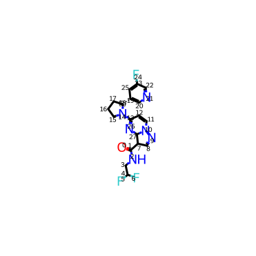 O=C(NCC(F)F)C1C=NN2C=CC(N3CCC[C@@H]3c3cncc(F)c3)=NC12